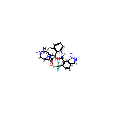 Cc1cccc2nc(-c3c(C(F)(F)F)ccc4cn[nH]c34)nc(C3CC4CNCC3N4C(=O)O)c12